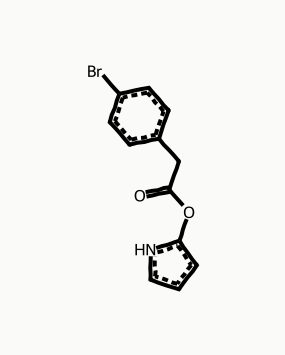 O=C(Cc1ccc(Br)cc1)Oc1ccc[nH]1